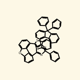 c1ccc(-c2nc(-c3cccc4c3-c3ccccc3C4(c3ccccc3)c3ccccc3)nc(-c3cccc4oc5cccc(-c6nc7ccccc7s6)c5c34)n2)cc1